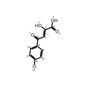 O=C(O)/C(O)=C/C(=O)c1ccc(Cl)cc1